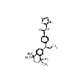 C=CC(c1ccc(C(=O)Nc2nnn[nH]2)cc1)c1ccc2c(c1)C(C)(C)CCC2(C)C